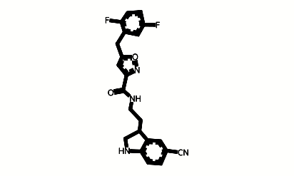 N#Cc1ccc2c(c1)C(CCNC(=O)c1cc(Cc3cc(F)ccc3F)on1)CN2